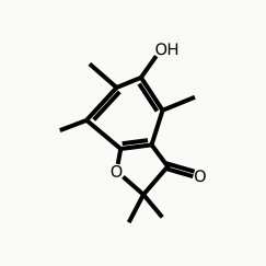 Cc1c(C)c2c(c(C)c1O)C(=O)C(C)(C)O2